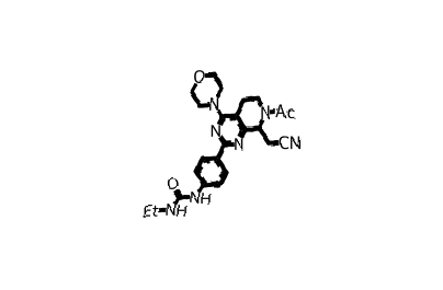 CCNC(=O)Nc1ccc(-c2nc3c(c(N4CCOCC4)n2)CCN(C(C)=O)C3CC#N)cc1